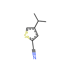 CC(C)c1csc(C#N)c1